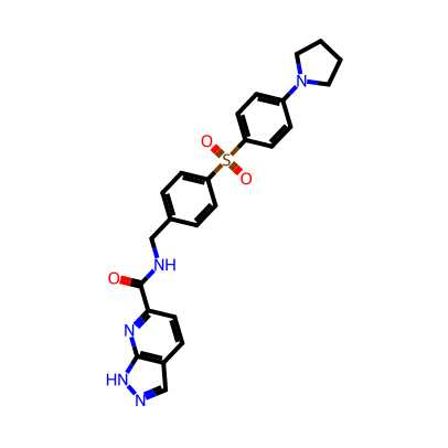 O=C(NCc1ccc(S(=O)(=O)c2ccc(N3CCCC3)cc2)cc1)c1ccc2cn[nH]c2n1